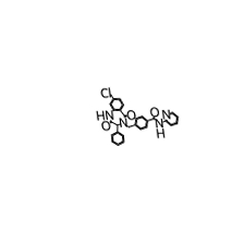 O=C(Nc1ccccn1)c1ccc(CN2C(=O)c3ccc(Cl)cc3NC(=O)C2c2ccccc2)cc1